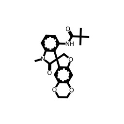 CN1C(=O)C2(COc3cc4c(cc32)OCCO4)c2c(NC(=O)C(C)(C)C)cccc21